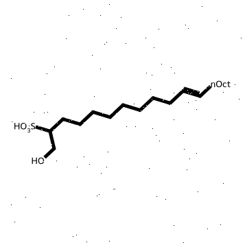 CCCCCCCCC=CCCCCCCCCC(CO)S(=O)(=O)O